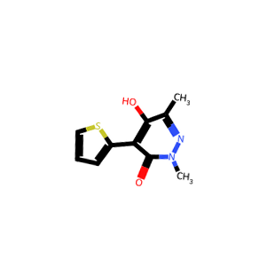 Cc1nn(C)c(=O)c(-c2cccs2)c1O